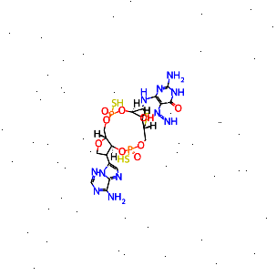 N=Nc1c(N[C@@H]2S[C@@H]3COP(=O)(S)O[C@H]4C(c5cnc6c(N)ncnn56)CO[C@@H]4COP(=O)(S)O[C@@H]2[C@@H]3O)nc(N)[nH]c1=O